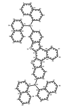 c1ccc2c(N(c3ccc4c(c3)oc3c5oc6cc(N(c7cccc8ccccc78)c7cccc8ccccc78)ccc6c5c5ccccc5c43)c3cccc4ccccc34)cccc2c1